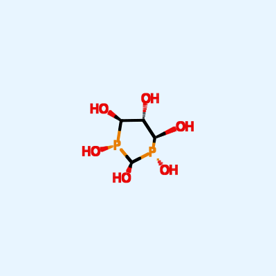 O[C@@H]1[C@@H](O)[P@](O)[C@@H](O)[P@@](O)[C@H]1O